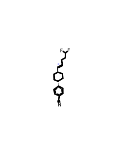 N#Cc1ccc([C@H]2CC[C@H](/C=C/CCC(F)F)CC2)cc1